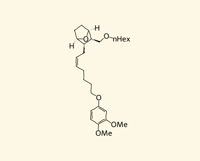 CCCCCCOC[C@H]1[C@@H](C/C=C\CCCCOc2ccc(OC)c(OC)c2)[C@H]2CC[C@@H]1O2